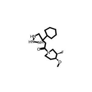 CO[C@H]1CCN(C(=O)CC2(C3CCCCC3)CNNN2)C[C@H]1F